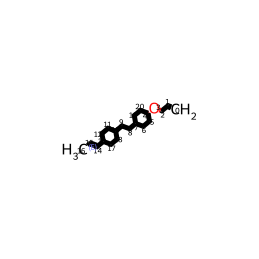 C=CCOC1CCC(CCC2CCC(/C=C/C)CC2)CC1